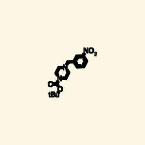 CC(C)(C)OC(=O)N1CCN(Cc2cccc([N+](=O)[O-])c2)CC1